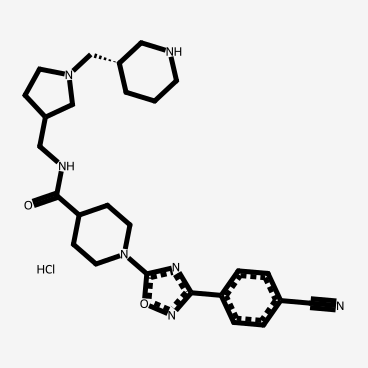 Cl.N#Cc1ccc(-c2noc(N3CCC(C(=O)NCC4CCN(C[C@H]5CCCNC5)C4)CC3)n2)cc1